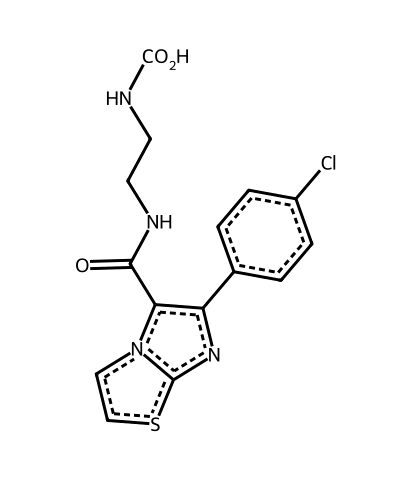 O=C(O)NCCNC(=O)c1c(-c2ccc(Cl)cc2)nc2sccn12